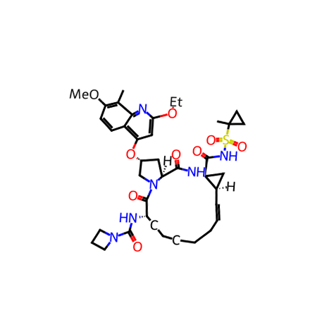 CCOc1cc(O[C@@H]2C[C@H]3C(=O)N[C@]4(C(=O)NS(=O)(=O)C5(C)CC5)C[C@H]4/C=C\CCCCC[C@H](NC(=O)N4CCC4)C(=O)N3C2)c2ccc(OC)c(C)c2n1